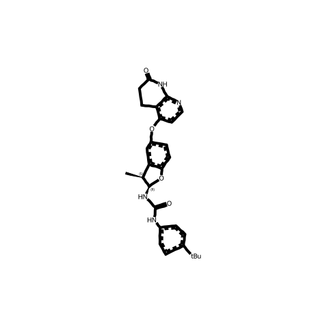 C[C@H]1c2cc(Oc3ccnc4c3CCC(=O)N4)ccc2O[C@H]1NC(=O)Nc1ccc(C(C)(C)C)cc1